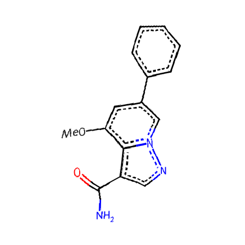 COc1cc(-c2ccccc2)cn2ncc(C(N)=O)c12